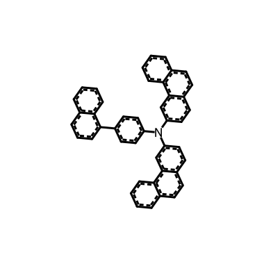 c1ccc2c(-c3ccc(N(c4ccc5ccc6ccccc6c5c4)c4ccc5ccc6ccccc6c5c4)cc3)cccc2c1